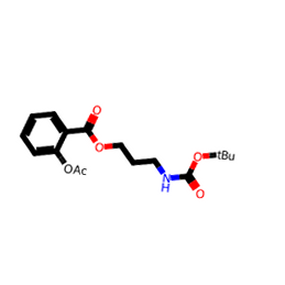 CC(=O)Oc1ccccc1C(=O)OCCCNC(=O)OC(C)(C)C